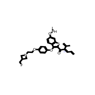 C=C/C=C(\C(=C)C)C(=O)c1sc2cc(OPI)ccc2c1Oc1ccc(OCCN2CC(CF)C2)cc1